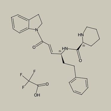 O=C(N[C@H](C=CC(=O)N1CCc2ccccc21)CCc1ccccc1)[C@@H]1CCCCN1.O=C(O)C(F)(F)F